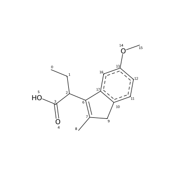 CCC(C(=O)O)C1=C(C)Cc2ccc(OC)cc21